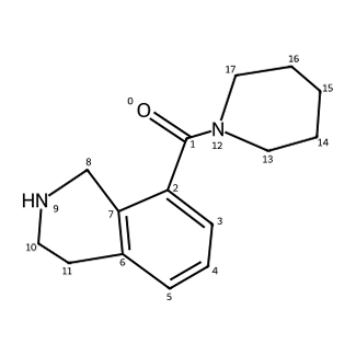 O=C(c1cccc2c1CNCC2)N1CCCCC1